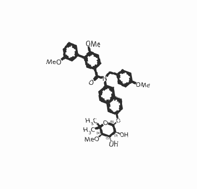 COc1ccc(CN(C(=O)c2ccc(OC)c(-c3cccc(OC)c3)c2)c2ccc3cc(O[C@@H]4OC(C)(C)[C@H](OC)[C@@H](O)[C@@H]4O)ccc3c2)cc1